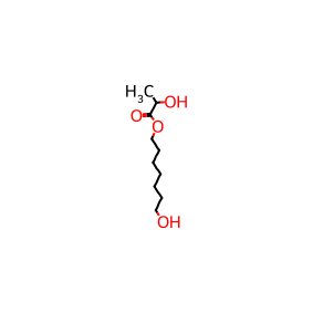 CC(O)C(=O)OCCCCCCCO